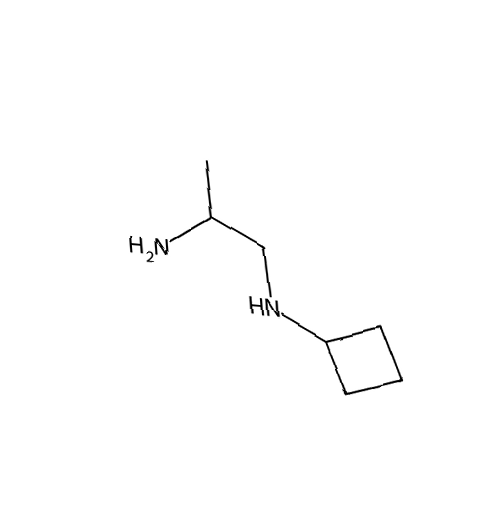 CC(N)CNC1CCC1